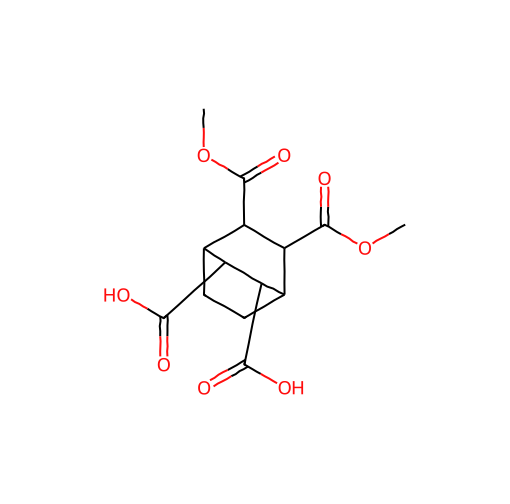 COC(=O)C1C2CCC(C(C(=O)O)C2C(=O)O)C1C(=O)OC